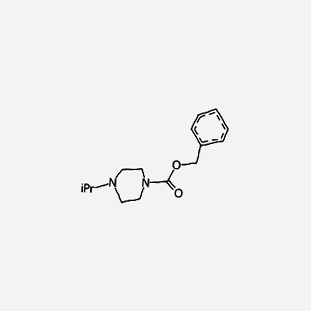 CC(C)N1CCN(C(=O)OCc2ccccc2)CC1